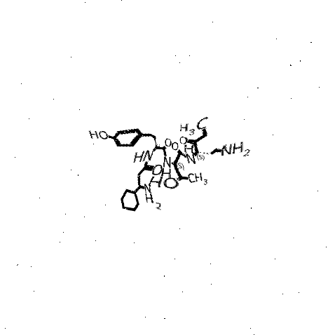 CCC(=O)[C@H](CCN)NC(=O)[C@@H](NC(=O)[C@H](Cc1ccc(O)cc1)NC(=O)CC(N)C1CCCCC1)C(C)O